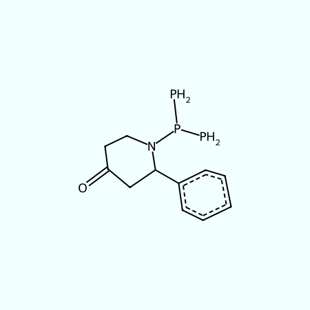 O=C1CCN(P(P)P)C(c2ccccc2)C1